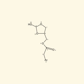 CC(=O)CC(=O)OCC1COC(O)O1